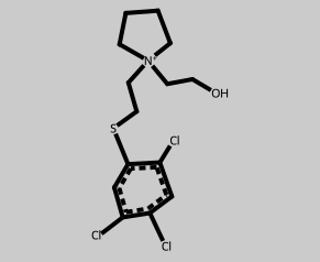 OCC[N+]1(CCSc2cc(Cl)c(Cl)cc2Cl)CCCC1